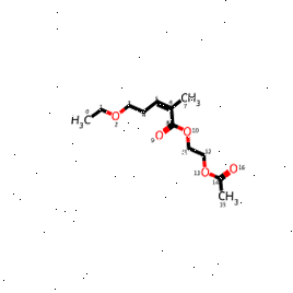 CCOCCC=C(C)C(=O)OCCOC(C)=O